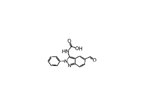 O=Cc1ccc2nn(-c3ccccc3)c(NC(=O)O)c2c1